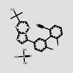 CC(C)(O)c1cnn2c(-c3ccc(F)c(-c4c(F)cccc4C#N)c3)cnc2n1.O=P(O)(O)O